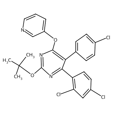 CC(C)(C)Oc1nc(Oc2cccnc2)c(-c2ccc(Cl)cc2)c(-c2ccc(Cl)cc2Cl)n1